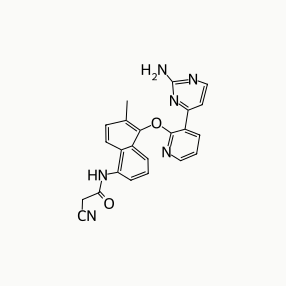 Cc1ccc2c(NC(=O)CC#N)cccc2c1Oc1ncccc1-c1ccnc(N)n1